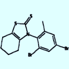 Cc1cc(Br)cc(Br)c1-n1c2c(sc1=S)CCCC2